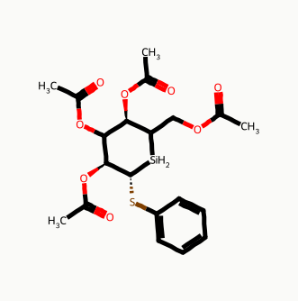 CC(=O)OCC1[SiH2][C@H](Sc2ccccc2)[C@@H](OC(C)=O)C(OC(C)=O)[C@H]1OC(C)=O